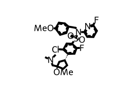 COc1ccc(CN(c2cccc(F)n2)S(=O)(=O)c2cc(Cl)c([C@@H]3CC[C@@](CN(C)C)(OC)C3)cc2F)cc1